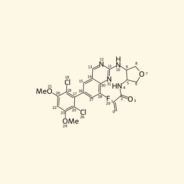 C=CC(=O)NC1COCC1Nc1ncc2cc(-c3c(Cl)c(OC)cc(OC)c3Cl)cc(F)c2n1